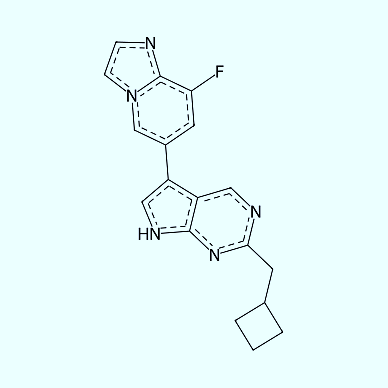 Fc1cc(-c2c[nH]c3nc(CC4CCC4)ncc23)cn2ccnc12